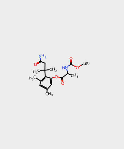 Cc1cc(C)c(C(C)(C)CC(N)=O)c(OC(=O)C(C)NC(=O)OC(C)(C)C)c1